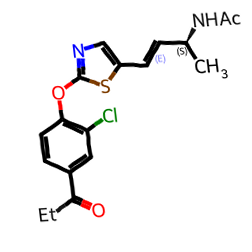 CCC(=O)c1ccc(Oc2ncc(/C=C/[C@H](C)NC(C)=O)s2)c(Cl)c1